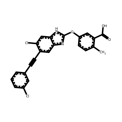 Cc1ccc(Oc2nc3cc(C#Cc4cccc(Cl)c4)c(Cl)cc3[nH]2)cc1C(=O)O